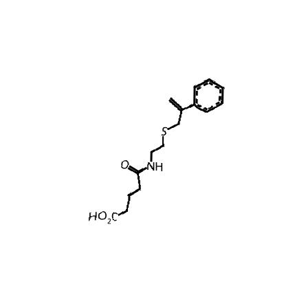 C=C(CSCCNC(=O)CCCC(=O)O)c1ccccc1